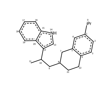 CC(C)c1ccc2c(c1)CC(CC(C)c1c[nH]c3ccccc13)CC2